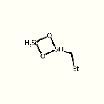 CCC[SiH]1O[SiH2]O1